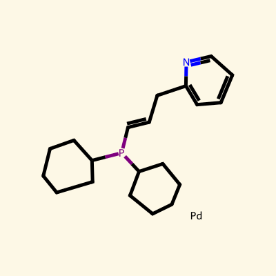 C(=CP(C1CCCCC1)C1CCCCC1)Cc1ccccn1.[Pd]